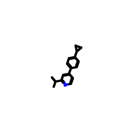 CC(C)c1cc(-c2ccc(C3CC3)cc2)ccn1